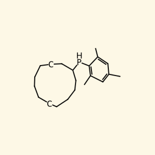 Cc1cc(C)c(PC2CCCCCCCCCCC2)c(C)c1